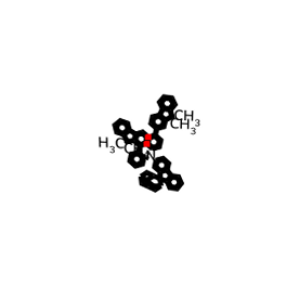 CC1(C)c2ccccc2-c2ccc(-c3ccc(N(c4ccc5c(c4)C4(c6ccccc6-5)C5CC6CC(C5)CC4C6)c4ccccc4-c4cccc5c4C(C)(C)c4ccccc4-5)cc3)cc21